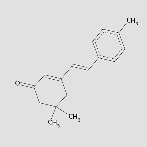 Cc1ccc(/C=C/C2=CC(=O)CC(C)(C)C2)cc1